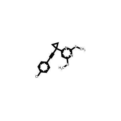 COc1cc(C2(C#Cc3ccc(Cl)cc3)CC2)nc(SC)n1